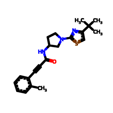 Cc1ccccc1C#CC(=O)NC1CCN(c2nc(C(C)(C)C)cs2)C1